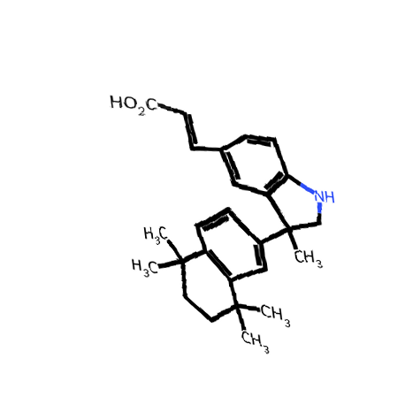 CC1(C)CCC(C)(C)c2cc(C3(C)CNc4ccc(/C=C/C(=O)O)cc43)ccc21